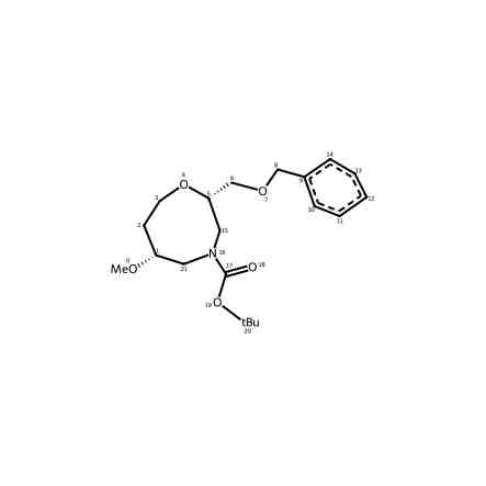 CO[C@@H]1CCO[C@H](COCc2ccccc2)CN(C(=O)OC(C)(C)C)C1